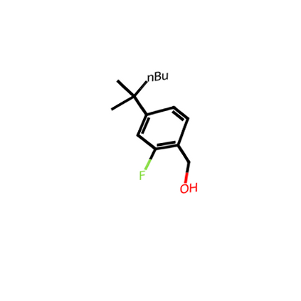 CCCCC(C)(C)c1ccc(CO)c(F)c1